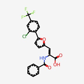 O=C(O)C(=Cc1ccc(-c2ccc(C(F)(F)F)cc2Cl)o1)NC(=O)c1ccccc1